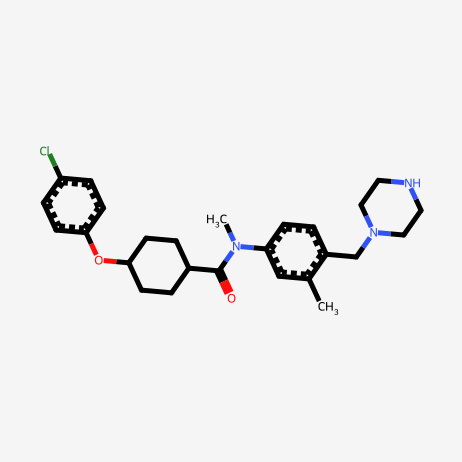 Cc1cc(N(C)C(=O)C2CCC(Oc3ccc(Cl)cc3)CC2)ccc1CN1CCNCC1